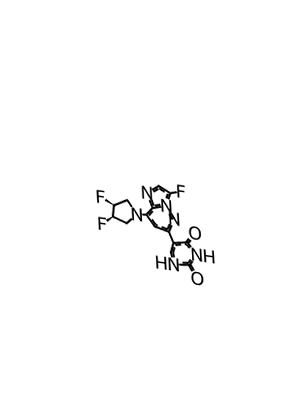 O=c1[nH]cc(-c2cc(N3C[C@@H](F)[C@@H](F)C3)c3ncc(F)n3n2)c(=O)[nH]1